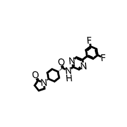 O=C1CCCN1[C@H]1CC[C@@H](C(=O)Nc2cnc(-c3cc(F)cc(F)c3)cn2)CC1